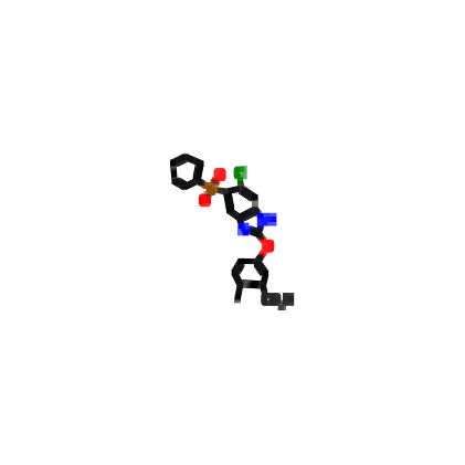 Cc1ccc(Oc2nc3cc(S(=O)(=O)c4ccccc4)c(Cl)cc3[nH]2)cc1C(=O)O